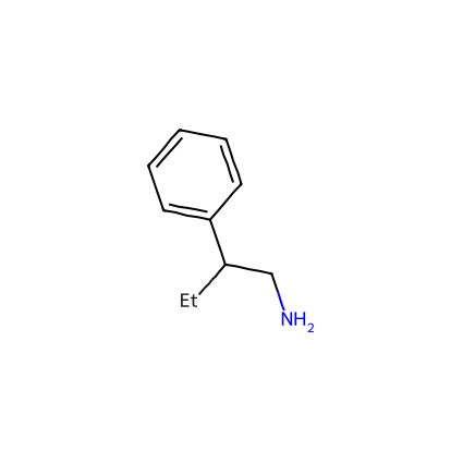 [CH2]CC(CN)c1ccccc1